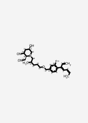 C=C/C(=C\C=C/C)c1ccc(COCCCC(C)CN2C[C@H](O)CC(N=O)[C@@H]2CN=O)cc1F